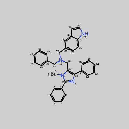 CCCCn1c(-c2ccccc2)nc(-c2ccccc2)c1CN(Cc1ccccc1)Cc1ccc2[nH]ccc2c1